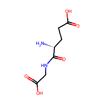 N[C@H](CCC(=O)O)C(=O)NCC(=O)O